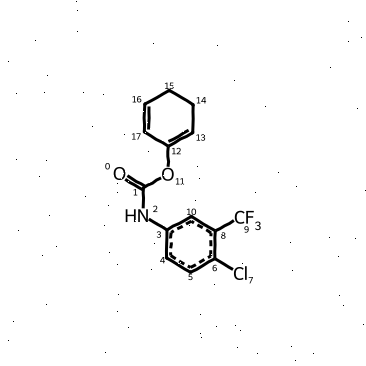 O=C(Nc1ccc(Cl)c(C(F)(F)F)c1)OC1=CCCC=C1